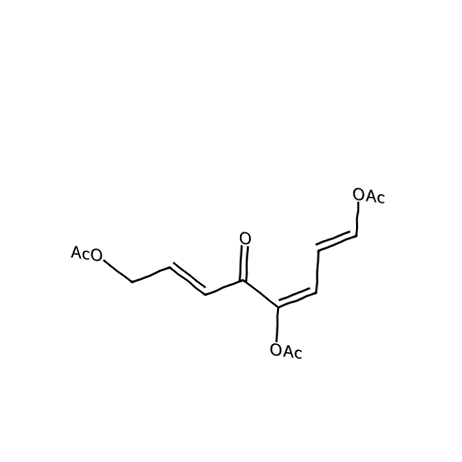 CC(=O)OC=CC=C(OC(C)=O)C(=O)C=CCOC(C)=O